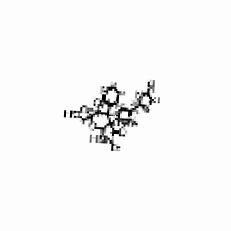 CCNC(=O)[C@]1(OC)[C@@H](S)O[C@](Cl)(CO)[C@H](O)C1(c1cccnc1)n1cc(-c2nc(Cl)cs2)nn1